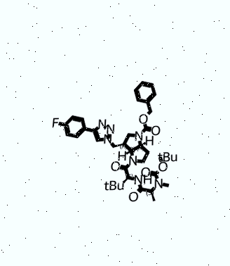 C[C@@H](C(=O)N[C@H](C(=O)N1CC[C@@H]2[C@H]1[C@@H](Cn1cc(-c3ccc(F)cc3)nn1)CN2C(=O)OCc1ccccc1)C(C)(C)C)N(C)C(=O)OC(C)(C)C